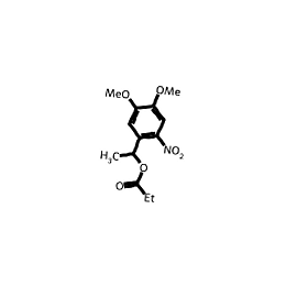 CCC(=O)OC(C)c1cc(OC)c(OC)cc1[N+](=O)[O-]